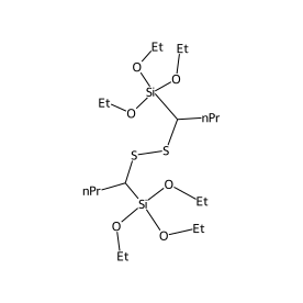 CCCC(SSC(CCC)[Si](OCC)(OCC)OCC)[Si](OCC)(OCC)OCC